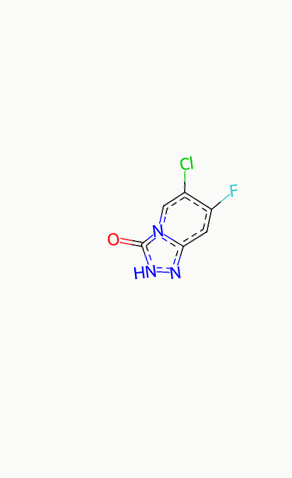 O=c1[nH]nc2cc(F)c(Cl)cn12